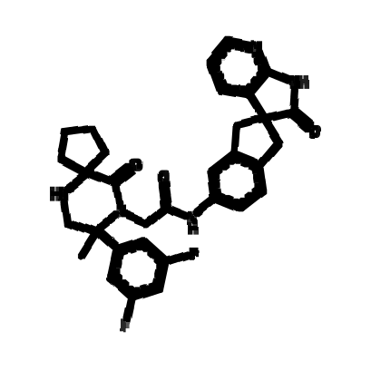 CC1(c2cc(F)cc(F)c2)CNC2(CCCC2)C(=O)N1CC(=O)Nc1ccc2c(c1)CC1(C2)C(=O)Nc2ncccc21